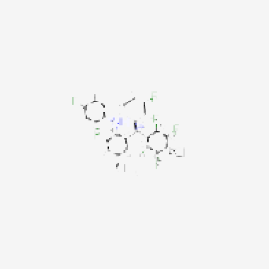 Cc1ccc(Nc2ccc(F)cc2F)c(/C(=C2/C=C(F)C=CC2)c2c(F)c(F)c(C)c(F)c2F)c1